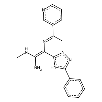 CN/C(N)=C(\N=C(/C)c1cccnc1)c1nnc(-c2ccccc2)[nH]1